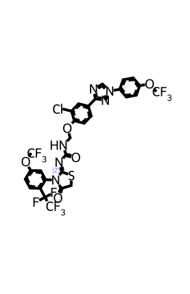 O=C(/N=C1\SCC(=O)N1c1cc(OC(F)(F)F)ccc1C(F)(F)C(F)(F)F)NCOc1ccc(-c2ncn(-c3ccc(OC(F)(F)F)cc3)n2)cc1Cl